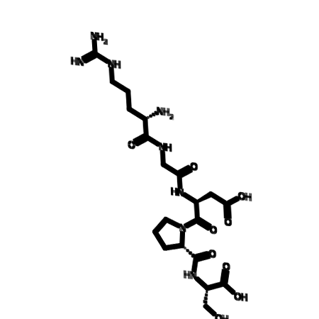 N=C(N)NCCC[C@H](N)C(=O)NCC(=O)N[C@@H](CC(=O)O)C(=O)N1CCC[C@H]1C(=O)N[C@@H](CO)C(=O)O